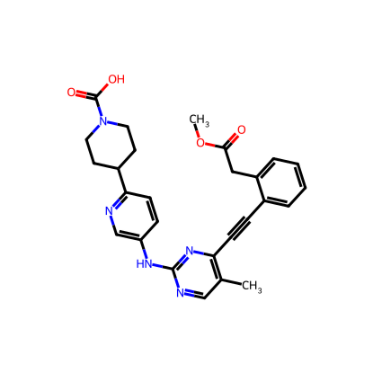 COC(=O)Cc1ccccc1C#Cc1nc(Nc2ccc(C3CCN(C(=O)O)CC3)nc2)ncc1C